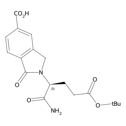 CC(C)(C)OC(=O)CC[C@@H](C(N)=O)N1Cc2cc(C(=O)O)ccc2C1=O